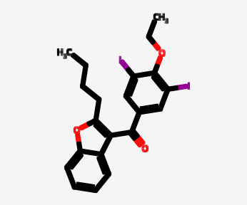 CCCCc1oc2ccccc2c1C(=O)c1cc(I)c(OCC)c(I)c1